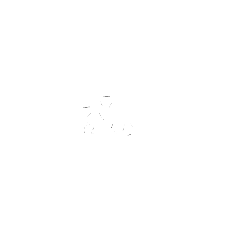 Cc1sc2c(c1C)C(c1ccc(Cl)cc1)=N[C@@H](CC(=O)Nc1ccc(OC(C)C)cc1)c1nnc(C)n1-2